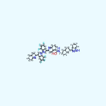 OC(NCc1ccc2cc(-c3n[nH]c4ccccc34)ccc2c1)c1cccc2nc(-c3cn(-n4cc(-c5ccc6ccccc6n5)c5cc(F)c(F)c(F)c54)c4c(F)c(F)c(F)cc34)ccc12